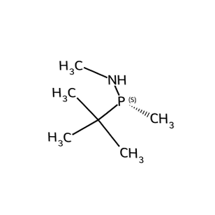 CN[P@](C)C(C)(C)C